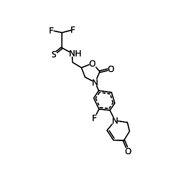 O=C1C=CN(c2ccc(N3CC(CNC(=S)C(F)F)OC3=O)cc2F)CC1